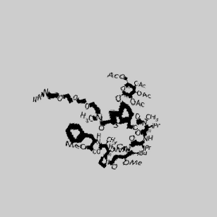 CCC(C)[C@@H]([C@@H](CC(=O)N1CCC[C@H]1[C@H](OC)[C@@H](C)C(=O)NC(Cc1ccccc1)C(=O)OC)OC)N(C)C(=O)[C@@H](NC(=O)[C@H](C(C)C)N(C)C(=O)OCc1ccc(O[C@@H]2O[C@H](COC(C)=O)[C@H](OC(C)=O)[C@H](OC(C)=O)C2OC(C)=O)c2cc(C(=O)N(C)CCOCCOCCOCCN=[N+]=[N-])sc12)C(C)C